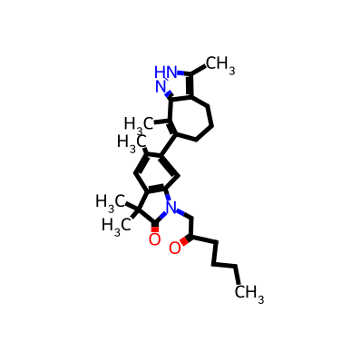 CCCCC(=O)CN1C(=O)C(C)(C)c2cc(C)c(C3=C(C)c4n[nH]c(C)c4CCC3)cc21